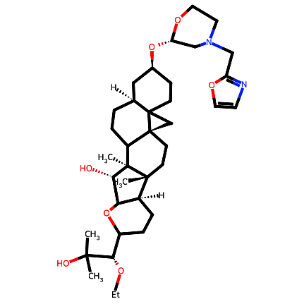 CCO[C@@H](C1CC[C@H]2C(O1)[C@H](O)[C@@]1(C)C3CC[C@H]4C[C@@H](O[C@H]5CN(Cc6ncco6)CCO5)CCC45C[C@@]35CC[C@]21C)C(C)(C)O